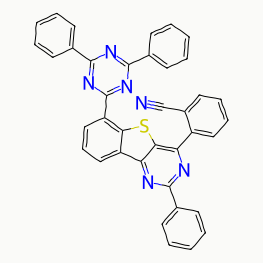 N#Cc1ccccc1-c1nc(-c2ccccc2)nc2c1sc1c(-c3nc(-c4ccccc4)nc(-c4ccccc4)n3)cccc12